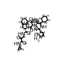 Cn1nccc1C(=O)NC(C(=O)N[C@H](C(=O)N1C2CCCCC2C[C@H]1C(=O)NCC(=O)C(=O)NC1CC1)C(C)(C)C)C1CCCCC1